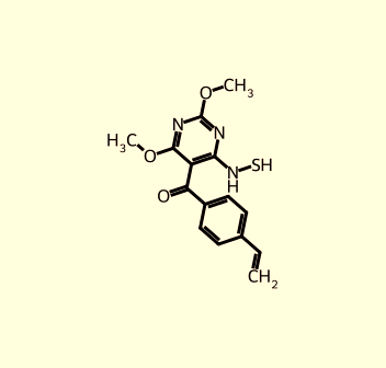 C=Cc1ccc(C(=O)c2c(NS)nc(OC)nc2OC)cc1